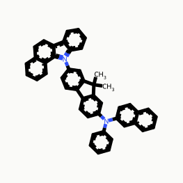 CC1(C)c2cc(N(c3ccccc3)c3ccc4ccccc4c3)ccc2-c2ccc(-n3c4ccccc4c4ccc5ccccc5c43)cc21